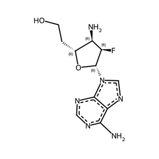 Nc1ncnc2c1ncn2[C@@H]1O[C@H](CCO)[C@@H](N)[C@H]1F